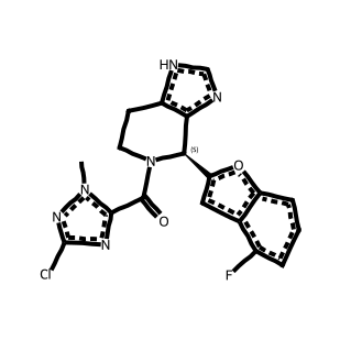 Cn1nc(Cl)nc1C(=O)N1CCc2[nH]cnc2[C@H]1c1cc2c(F)cccc2o1